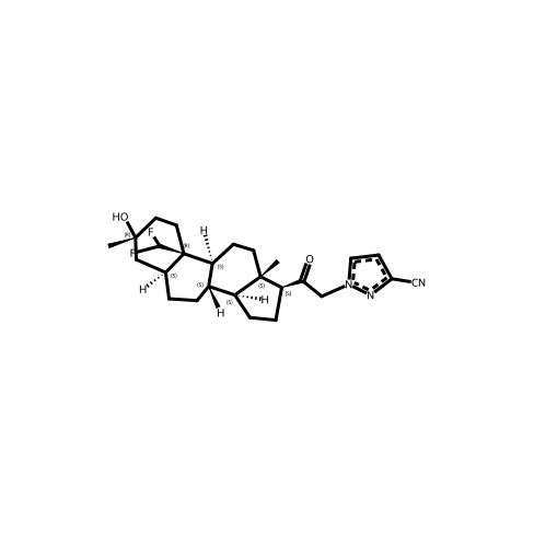 C[C@@]1(O)CC[C@@]2(C(F)F)[C@@H](CC[C@H]3[C@@H]4CC[C@H](C(=O)Cn5ccc(C#N)n5)[C@@]4(C)CC[C@@H]32)C1